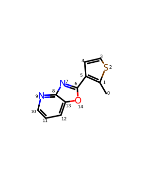 Cc1sccc1-c1nc2ncccc2o1